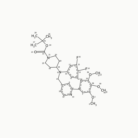 COc1cc(-c2cc(CN(c3ccc(F)c(F)c3)C3CCN(C(=O)OC(C)(C)C)CC3)ccn2)cc(OC)c1OC